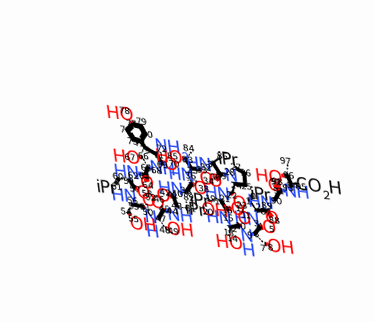 CC(C)C[C@H](NC(=O)[C@H](CO)NC(=O)[C@H](CO)NC(=O)[C@H](CO)NC(=O)[C@@H]1CCCN1C(=O)[C@@H](NC(=O)[C@@H](NC(=O)[C@@H](NC(=O)[C@@H](NC(=O)[C@H](CO)NC(=O)[C@H](CO)NC(=O)[C@H](CC(C)C)NC(=O)[C@H](CO)NC(=O)[C@@H](N)Cc1ccc(O)cc1)C(C)C)C(C)C)[C@@H](C)O)C(C)C)C(=O)NCC(=O)N[C@H](C(=O)O)[C@@H](C)O